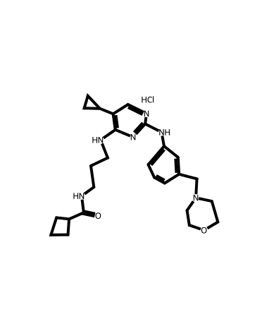 Cl.O=C(NCCCNc1nc(Nc2cccc(CN3CCOCC3)c2)ncc1C1CC1)C1CCC1